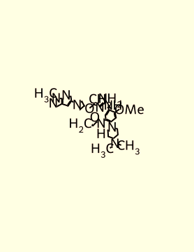 C=CC(=O)Nc1cc(N/C(N)=N/C(=C)OC2CN(c3cnc4c(cnn4C)c3)C2)c(OC)cc1N1CCC(N(C)C)CC1